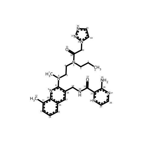 CCCN(CCN(C)c1nc2c(C)cccc2cc1CNC(=O)c1nccnc1N)C(=O)Cn1ccnn1